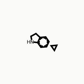 C1CC1.c1ccc2c(c1)CCN2